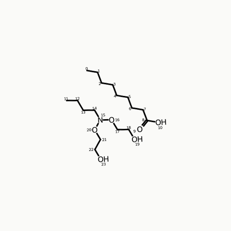 CCCCCCCCC(=O)O.CCCCN(OCCO)OCCO